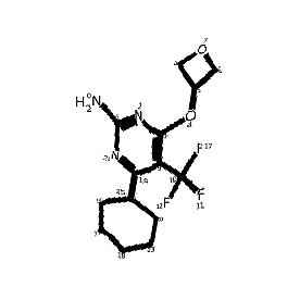 Nc1nc(OC2COC2)c(C(F)(F)F)c(C2CCCCC2)n1